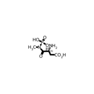 CN(C(=O)[C@@H](N)CC(=O)O)P(=O)(O)O